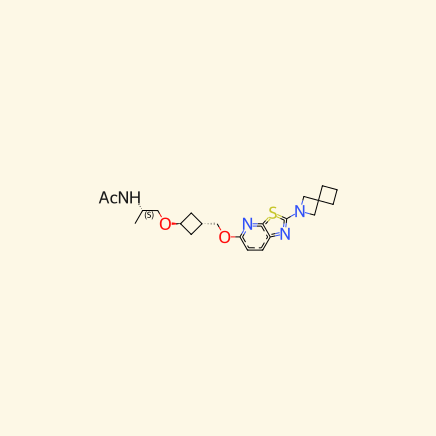 CC(=O)N[C@@H](C)CO[C@H]1C[C@H](COc2ccc3nc(N4CC5(CCC5)C4)sc3n2)C1